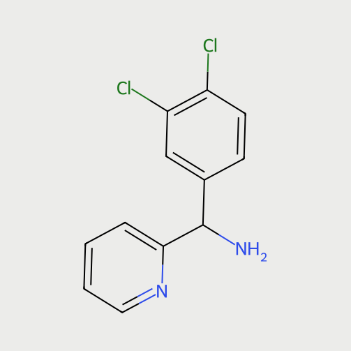 NC(c1ccc(Cl)c(Cl)c1)c1ccccn1